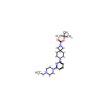 CCN1CCN(c2cccc(N3CCC4(CC3)CN(C(=O)OC(C)(C)C)C4)n2)CC1